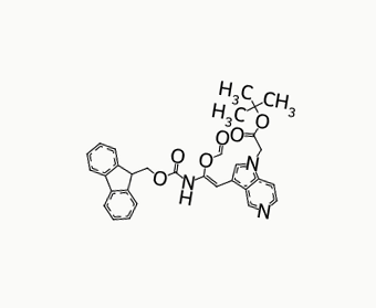 CC(C)(C)OC(=O)Cn1cc(/C=C(/NC(=O)OCC2c3ccccc3-c3ccccc32)OC=O)c2cnccc21